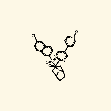 O=C(c1ncc(-c2cc[n+]([O-])cc2)cn1)N1C2CCC1CN(S(=O)(=O)c1ccc3cc(Cl)ccc3c1)C2